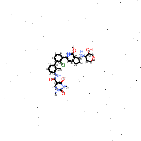 COc1nc(-c2cccc(-c3cccc(NC(=O)c4cn(C)c(=O)n(C)c4=O)c3C)c2Cl)cc2c1C(NC1CCOCC1O)CC2